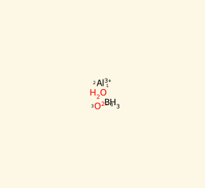 B.O.[Al+3].[O-2]